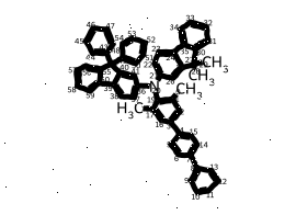 Cc1cc(-c2ccc(-c3ccccc3)cc2)cc(C)c1N(c1ccc2c(c1)C(C)(C)c1ccccc1-2)c1ccc2c(c1)C(c1ccccc1)(c1ccccc1)c1ccccc1-2